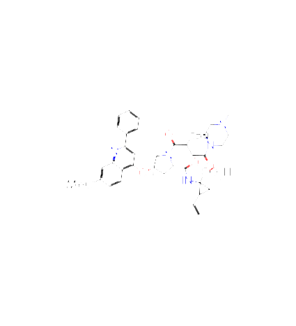 C=CC1CC1(NC(=O)[C@@H]1C[C@@H](Oc2cc(-c3ccccc3)nc3cc(OC)ccc23)CN1C(=O)C(CC(=O)N1CCN(C)CC1)C(C)(C)C)C(=O)O